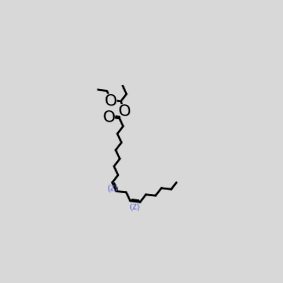 CCCCC/C=C\C/C=C\CCCCCCCC(=O)OC(CC)OCC